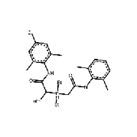 CCCC(C(=O)Nc1c(C)cc(Cl)cc1C)[PH](CC)(CC)CC(=O)Nc1c(C)cccc1C